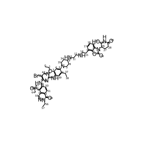 CCOc1cc(N2CCC(NCCNCCc3cccc4c3oc(=O)n4C3CCC(=O)NC3O)CC2)c(CC)cc1Nc1ncc(Br)c(Nc2ccc3c(=O)n(CC)ncc3c2P(C)(C)=O)n1